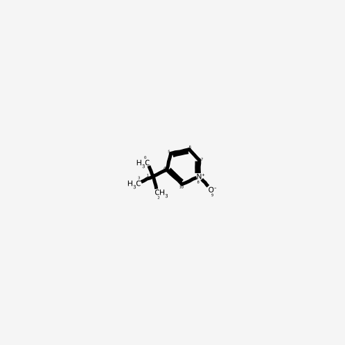 CC(C)(C)c1ccc[n+]([O-])c1